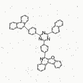 c1ccc2cc(-c3nc(-c4ccc(-c5cc6ccccc6c6ccccc56)cc4)nc(-c4ccc(-c5nc6ccccc6c6c5oc5ccccc56)cc4)n3)ccc2c1